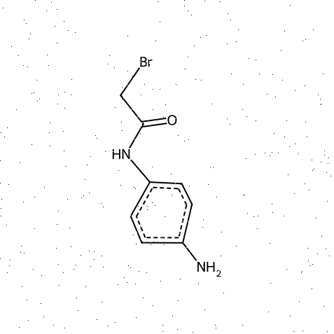 Nc1ccc(NC(=O)CBr)cc1